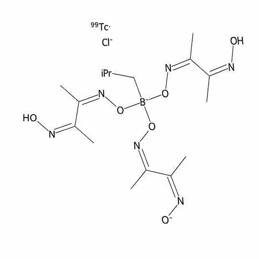 CC(=N/[O-])/C(C)=N\O[B-](CC(C)C)(O/N=C(C)\C(C)=N/O)O/N=C(C)\C(C)=N/O.[99Tc].[Cl-]